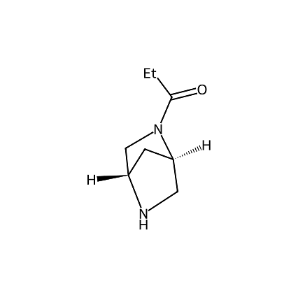 CCC(=O)N1C[C@@H]2C[C@@H]1CN2